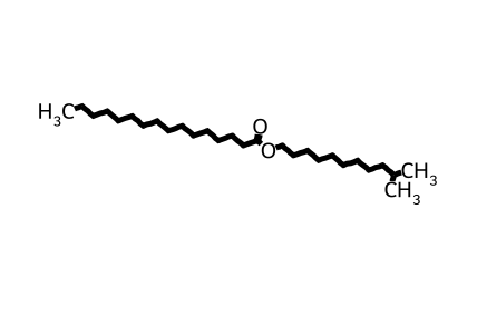 CCCCCCCCCCCCCCCC(=O)OCCCCCCCCCC(C)C